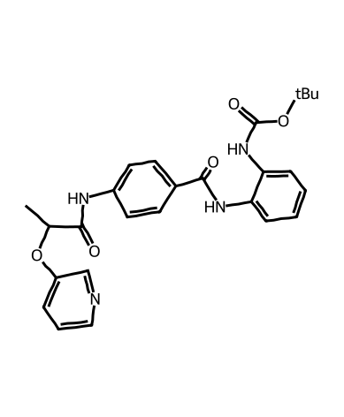 CC(Oc1cccnc1)C(=O)Nc1ccc(C(=O)Nc2ccccc2NC(=O)OC(C)(C)C)cc1